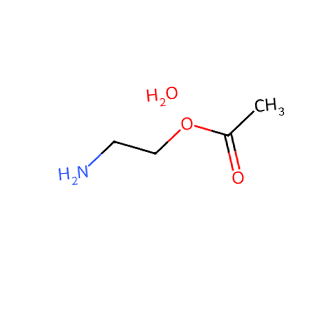 CC(=O)OCCN.O